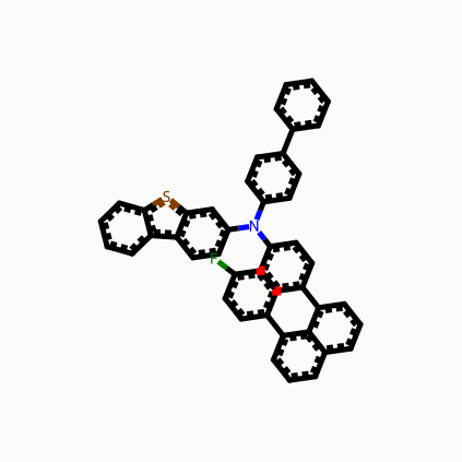 Fc1ccc(-c2cccc3cccc(-c4ccc(N(c5ccc(-c6ccccc6)cc5)c5ccc6c(c5)sc5ccccc56)cc4)c23)cc1